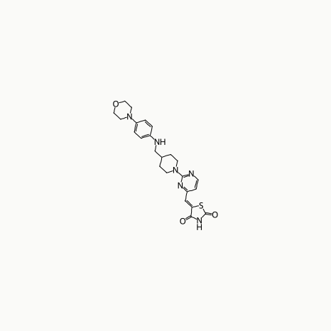 O=C1NC(=O)/C(=C/c2ccnc(N3CCC(CNc4ccc(N5CCOCC5)cc4)CC3)n2)S1